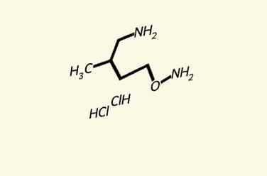 CC(CN)CCON.Cl.Cl